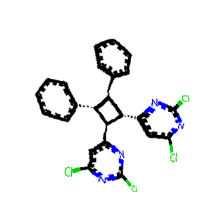 Clc1cc([C@H]2[C@H](c3ccccc3)[C@@H](c3ccccc3)[C@@H]2c2cc(Cl)nc(Cl)n2)nc(Cl)n1